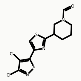 O=CN1CCCC(c2nc(-c3snc(Cl)c3Cl)cs2)C1